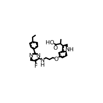 CCc1ccc(-c2ncc(F)c(NCCCOc3ccc4[nH]cc(C(C)C(=O)O)c4c3)n2)cc1